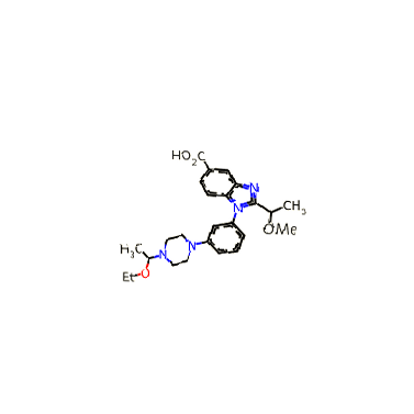 CCOC(C)N1CCN(c2cccc(-n3c(C(C)OC)nc4cc(C(=O)O)ccc43)c2)CC1